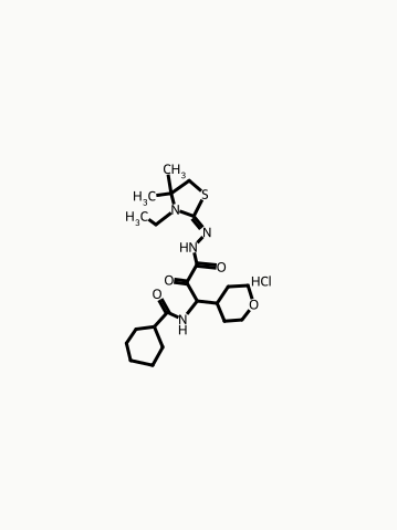 CCN1C(=NNC(=O)C(=O)C(NC(=O)C2CCCCC2)C2CCOCC2)SCC1(C)C.Cl